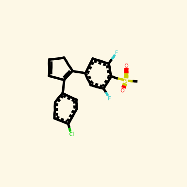 CS(=O)(=O)c1c(F)cc(C2=C(c3ccc(Cl)cc3)C=CC2)cc1F